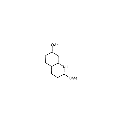 COC1CCC2CCC(OC(C)=O)CC2N1